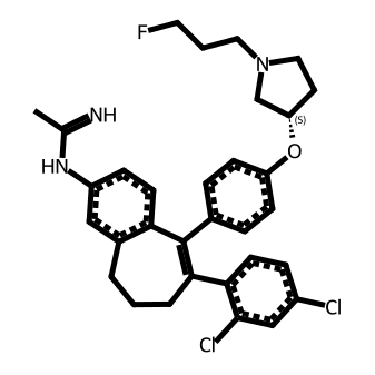 CC(=N)Nc1ccc2c(c1)CCCC(c1ccc(Cl)cc1Cl)=C2c1ccc(O[C@H]2CCN(CCCF)C2)cc1